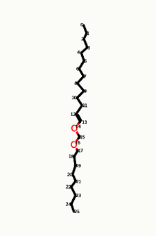 CCCCCCCCCCCCC=COCOCCCCCCCCC